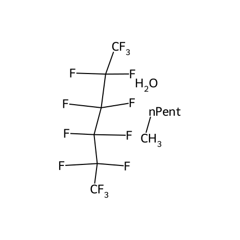 CCCCCC.FC(F)(F)C(F)(F)C(F)(F)C(F)(F)C(F)(F)C(F)(F)F.O